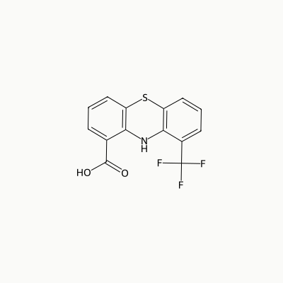 O=C(O)c1cccc2c1Nc1c(cccc1C(F)(F)F)S2